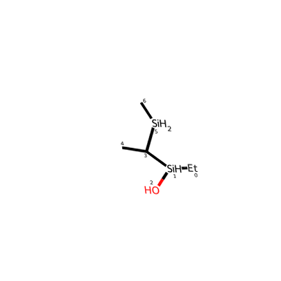 CC[SiH](O)C(C)[SiH2]C